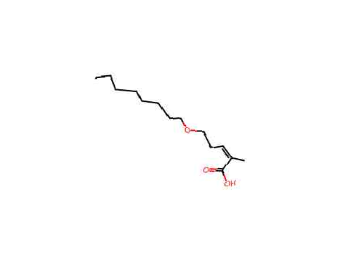 CCCCCCCCOCCC=C(C)C(=O)O